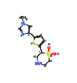 Cn1cnc(-c2ccc(C3CNCCS3(=O)=O)s2)c1